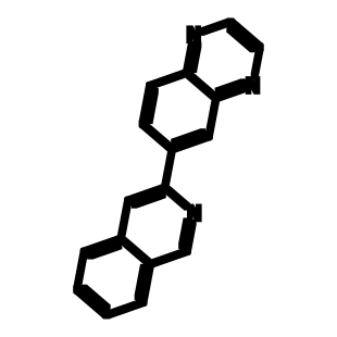 c1ccc2cc(-c3ccc4nccnc4c3)ncc2c1